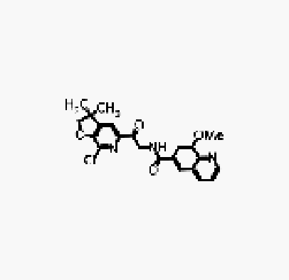 COc1cc(C(=O)NCC(=O)c2cc3c(c(Cl)n2)OCC3(C)C)cc2cccnc12